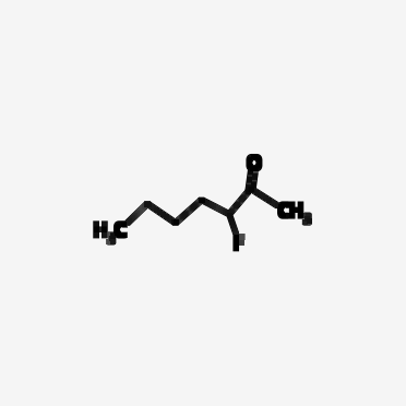 CCCCC(F)C(C)=O